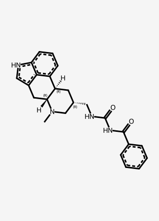 CN1C[C@@H](CNC(=O)NC(=O)c2ccccc2)C[C@@H]2c3cccc4[nH]cc(c34)C[C@H]21